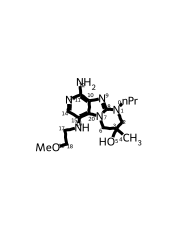 CCCN1CC(C)(O)Cn2c1nc1c(N)ncc(NCCOC)c12